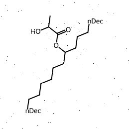 CCCCCCCCCCCCCCCCC(CCCCCCCCCCCCC)OC(=O)C(C)O